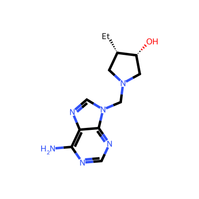 CC[C@H]1CN(Cn2cnc3c(N)ncnc32)C[C@H]1O